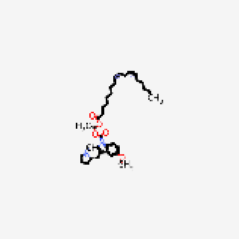 CCCCC/C=C\C/C=C\CCCCCCCC(=O)O[C@@H](C)OC(=O)n1cc(C[C@H]2CCCN2C)c2cc(OC)ccc21